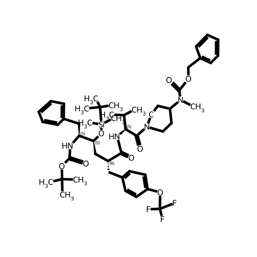 CC(C)[C@H](NC(=O)[C@H](Cc1ccc(OC(F)(F)F)cc1)C[C@H](O[Si](C)(C)C(C)(C)C)[C@H](Cc1ccccc1)NC(=O)OC(C)(C)C)C(=O)N1CCC(N(C)C(=O)OCc2ccccc2)CC1